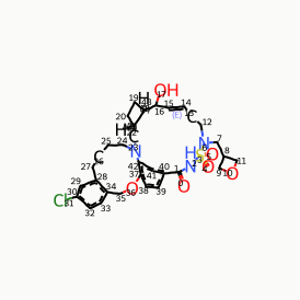 O=C1NS(=O)(=O)N(CC2COC2)CC/C=C/C(O)[C@@H]2CC[C@H]2CN2CCCCc3cc(Cl)ccc3COc3ccc1cc32